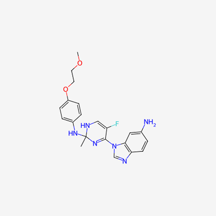 COCCOc1ccc(NC2(C)N=C(n3cnc4ccc(N)cc43)C(F)=CN2)cc1